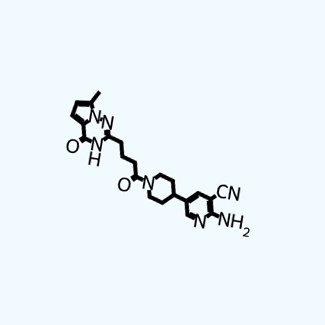 Cc1ccc2c(=O)[nH]c(CCCC(=O)N3CCC(c4cnc(N)c(C#N)c4)CC3)nn12